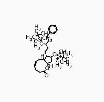 CC(C)(C)[Si](C)(C)OC1C[C@@H]2OC(=O)CC/C=C\C[C@@H]2[C@H]1CC[C@H](CCc1ccccc1)O[Si](C)(C)C(C)(C)C